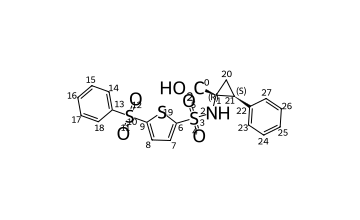 O=C(O)[C@@]1(NS(=O)(=O)c2ccc(S(=O)(=O)c3ccccc3)s2)C[C@H]1c1ccccc1